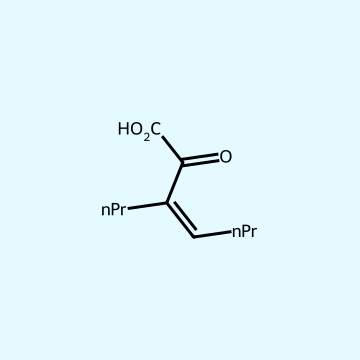 CCCC=C(CCC)C(=O)C(=O)O